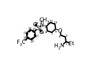 CCC(N)CCO[C@H]1CC[C@H](N(C)S(=O)(=O)c2ccc(C(F)(F)F)cc2)CC1